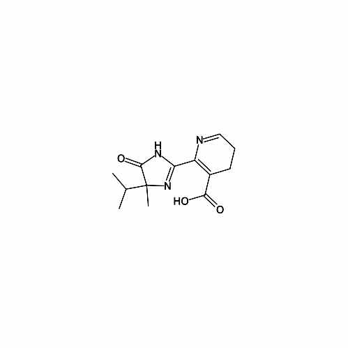 CC(C)C1(C)N=C(C2=C(C(=O)O)CCC=N2)NC1=O